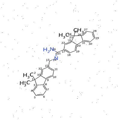 CC1(C)c2ccccc2-c2ccc(C/N=C(\N)c3ccc4c(c3)C(C)(C)c3ccccc3-4)cc21